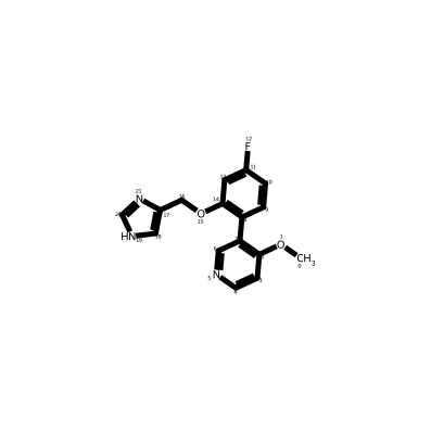 COc1ccncc1-c1ccc(F)cc1OCc1c[nH]cn1